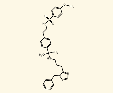 COc1ccc(S(=O)(=O)NCCc2ccc(C(C)(C)NCCCc3nccn3Cc3ccccc3)cc2)cc1